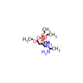 CCOC(CCCNC(C)N)O[Si](OC)(OCC)OCC